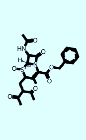 CC(=O)NC1C(=O)N2C(C(=O)OCc3ccccc3)=C(C)C(CC(C(C)=O)C(C)=O)[S+]([O-])[C@@H]12